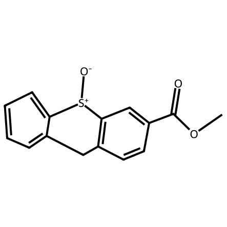 COC(=O)c1ccc2c(c1)[S+]([O-])c1ccccc1C2